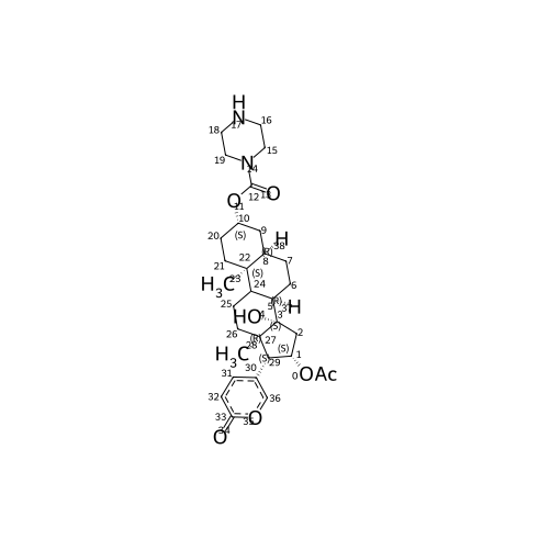 CC(=O)O[C@H]1C[C@]2(O)[C@@H]3CC[C@@H]4C[C@@H](OC(=O)N5CCNCC5)CC[C@]4(C)C3CC[C@]2(C)[C@H]1c1ccc(=O)oc1